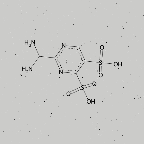 NC(N)c1ncc(S(=O)(=O)O)c(S(=O)(=O)O)n1